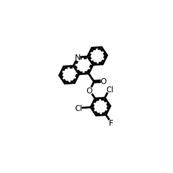 O=C(Oc1c(Cl)cc(F)cc1Cl)c1c2ccccc2nc2ccccc12